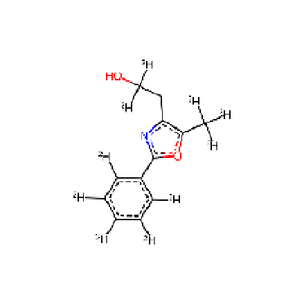 [2H]c1c([2H])c([2H])c(-c2nc(CC([2H])([2H])O)c(C([2H])([2H])[2H])o2)c([2H])c1[2H]